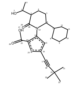 CC(O)C1CCC(C2CCCCC2)N(c2cc(C#CC(C)(C)C)sc2C(=O)O)C1=O